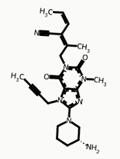 CC#CCn1c(N2CCC[C@@H](N)C2)nc2c1c(=O)n(C/C(C)=C(C#N)/C=C\C)c(=O)n2C